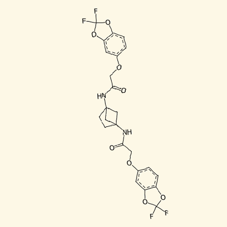 O=C(COc1ccc2c(c1)OC(F)(F)O2)NC12CCC(NC(=O)COc3ccc4c(c3)OC(F)(F)O4)(C1)C2